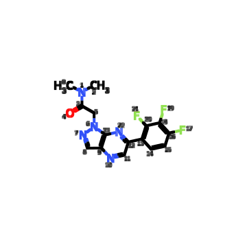 CN(C)C(=O)Cn1ncc2ncc(-c3ccc(F)c(F)c3F)nc21